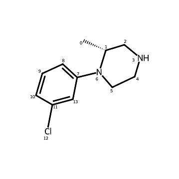 C[C@@H]1CNCCN1c1cccc(Cl)c1